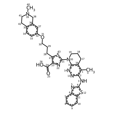 Cc1c(Nc2nc3ccccc3s2)nnc2c1CCCN2c1nc(C(=O)O)c(CCCOc2ccc3c(c2)CN(C)CC3)s1